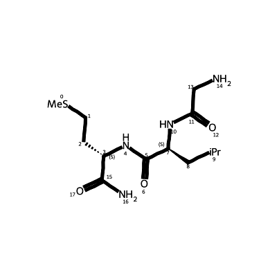 CSCC[C@H](NC(=O)[C@H](CC(C)C)NC(=O)CN)C(N)=O